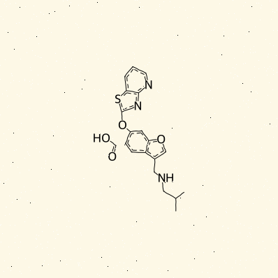 CC(C)CNCc1coc2cc(Oc3nc4ncccc4s3)ccc12.O=CO